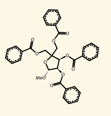 CO[C@@H]1OC(COC(=O)c2ccccc2)(COC(=O)c2ccccc2)[C@@H](OC(=O)c2ccccc2)[C@H]1OC(=O)c1ccccc1